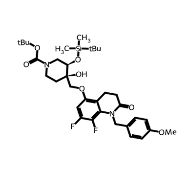 COc1ccc(CN2C(=O)CCc3c(OC[C@]4(O)CCN(C(=O)OC(C)(C)C)C[C@H]4O[Si](C)(C)C(C)(C)C)cc(F)c(F)c32)cc1